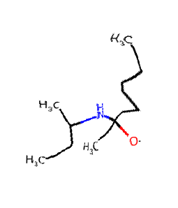 CCCCC(C)([O])NC(C)CC